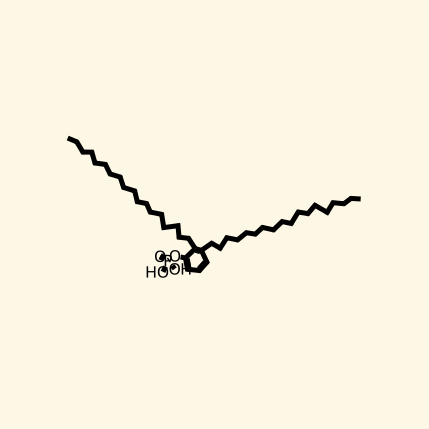 CCCCCCCCCCCCCCCCCCc1cccc(OP(=O)(O)O)c1CCCCCCCCCCCCCCCCCC